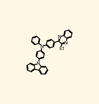 CCc1nc2ccccc2nc1-c1ccc(N(c2ccccc2)c2ccc(-n3c4ccccc4c4ccccc43)cc2)cc1